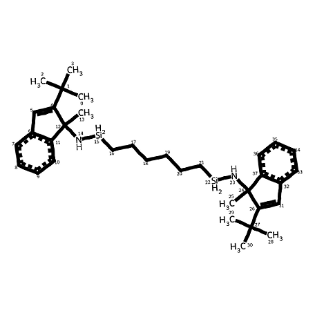 CC(C)(C)C1=Cc2ccccc2C1(C)N[SiH2]CCCCCC[SiH2]NC1(C)C(C(C)(C)C)=Cc2ccccc21